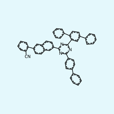 N#Cc1ccccc1-c1ccc2cc(-c3nc(-c4ccc(-c5ccccc5)cc4)nc(-c4cc(-c5ccccc5)ccc4-c4ccccc4)n3)ccc2c1